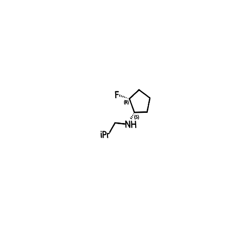 CC(C)CN[C@H]1CCC[C@H]1F